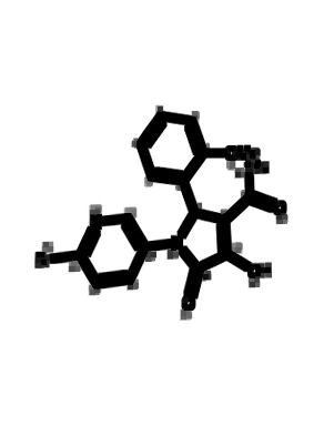 COc1ccccc1C1C(C(=O)C(C)(C)C)=C(O)C(=O)N1c1ccc(Br)nc1